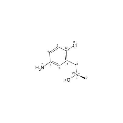 C[S@@+]([O-])Cc1cc(N)ccc1Cl